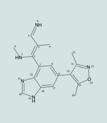 CN/C(=C(/C)C=N)c1cc(-c2c(C)noc2C)cc2[nH]cnc12